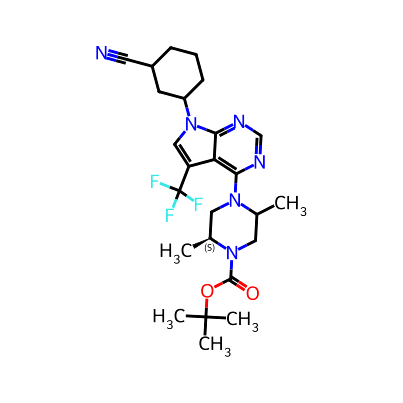 CC1CN(C(=O)OC(C)(C)C)[C@@H](C)CN1c1ncnc2c1c(C(F)(F)F)cn2C1CCCC(C#N)C1